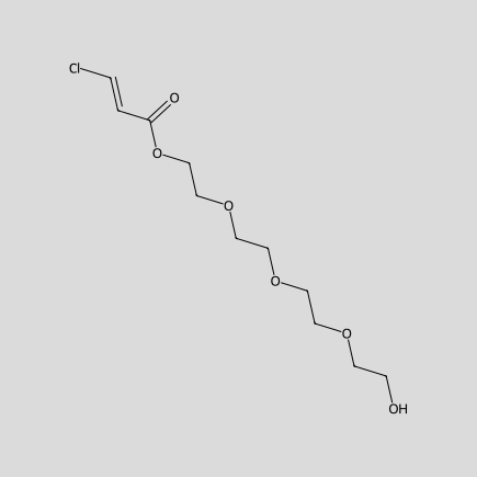 O=C(C=CCl)OCCOCCOCCOCCO